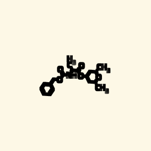 C[C@@H]1CC(OC(=O)[C@H](C)NC(=O)OCc2ccccc2)C[C@H](C)O1